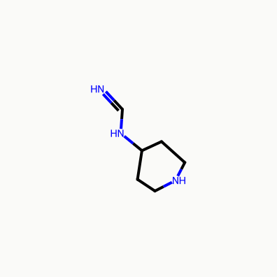 N=CNC1CCNCC1